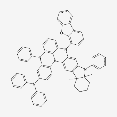 CC12CCCCC1(C)N(c1ccccc1)c1cc3c(cc12)B1c2ccc(N(c4ccccc4)c4ccccc4)cc2N(c2ccccc2)c2cccc(c21)N3c1cccc2c1oc1ccccc12